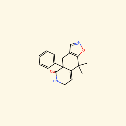 CC1(C)C2=CCNC(=O)C2(c2ccccc2)Cc2cnoc21